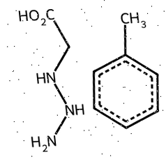 Cc1ccccc1.NNNCC(=O)O